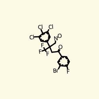 O=NCC(CC(=O)c1ccc(F)c(Br)c1)(c1cc(Cl)c(Cl)c(Cl)c1)C(F)(F)F